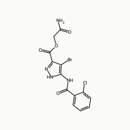 NC(=O)COC(=O)c1n[nH]c(NC(=O)c2ccccc2Cl)c1Br